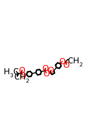 C=CC(=O)Oc1ccc(-c2ccc(OC(=O)c3ccc(-c4ccc(OC(=O)C(=C)C)cc4)cc3)o2)cc1